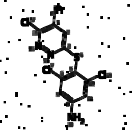 CC(C)c1cc(Sc2c(Cl)cc(N)cc2Cl)nnc1Cl